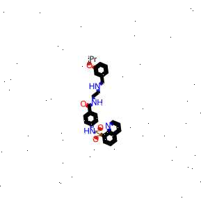 CC(C)Oc1cccc(CNCCNC(=O)c2ccc(NS(=O)(=O)c3cccc4cccnc34)cc2)c1